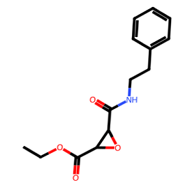 CCOC(=O)C1OC1C(=O)NCCc1ccccc1